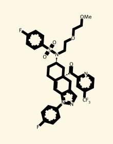 COCCOCCN([C@H]1CCC2=Cc3c(cnn3-c3ccc(F)cc3)C[C@]2(C(=O)c2cc(C(F)(F)F)ccn2)C1)S(=O)(=O)c1ccc(F)cc1